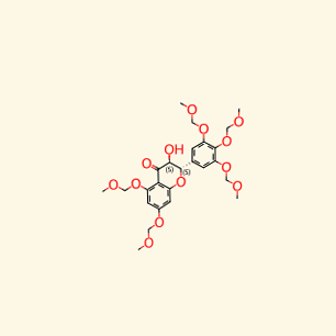 COCOc1cc(OCOC)c2c(c1)O[C@@H](c1cc(OCOC)c(OCOC)c(OCOC)c1)[C@H](O)C2=O